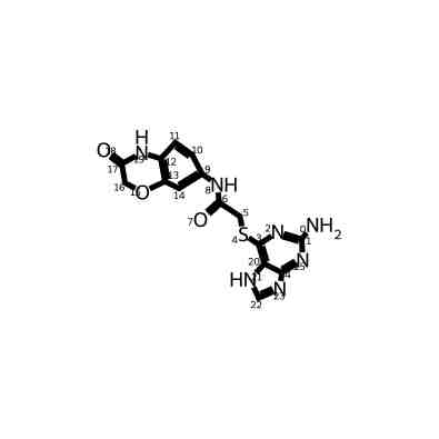 Nc1nc(SCC(=O)Nc2ccc3c(c2)OCC(=O)N3)c2[nH]cnc2n1